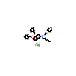 CCCCCCN(NCCSc1ccncc1)C1CCc2c(ccc(OCc3ccccc3)c2OCc2ccccc2)C1.Cl.Cl.Cl